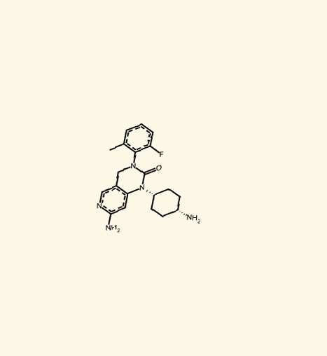 Cc1cccc(F)c1N1Cc2cnc(N)cc2N([C@H]2CC[C@@H](N)CC2)C1=O